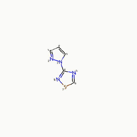 c1cnn(-c2ncsn2)c1